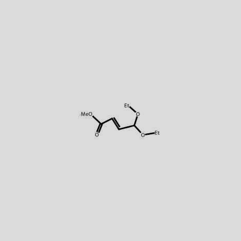 CCOC(C=CC(=O)OC)OCC